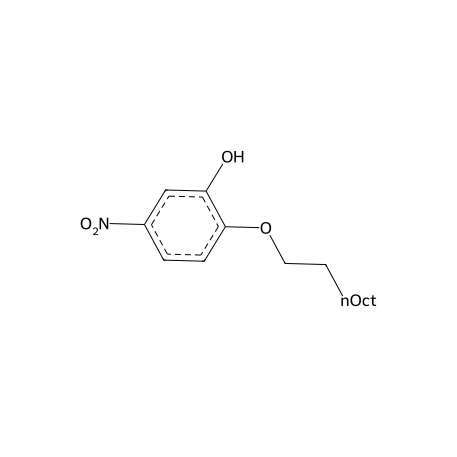 CCCCCCCCCCOc1ccc([N+](=O)[O-])cc1O